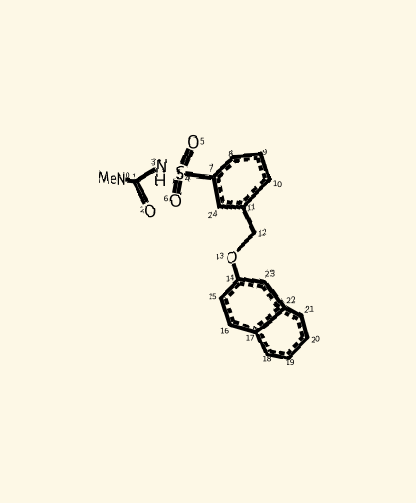 CNC(=O)NS(=O)(=O)c1cccc(COc2ccc3ccccc3c2)c1